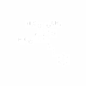 COC(=O)c1c(C=CCCc2ccccc2)cc(OC)cc1OC